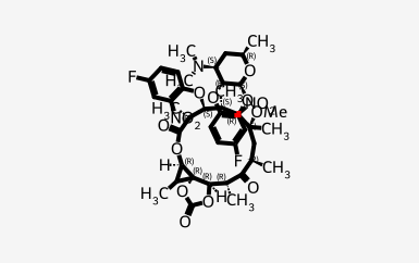 CO[C@@]1(C)C[C@@H](C)C(=O)[C@H](C)[C@H]2OC(=O)O[C@@]23C(C)[C@H]3OC(=O)[C@H](C)[C@@H](Oc2ccc(F)cc2[N+](=O)[O-])[C@H](C)[C@H]1O[C@@H]1O[C@H](C)C[C@H](N(C)C)[C@H]1Oc1ccc(F)cc1[N+](=O)[O-]